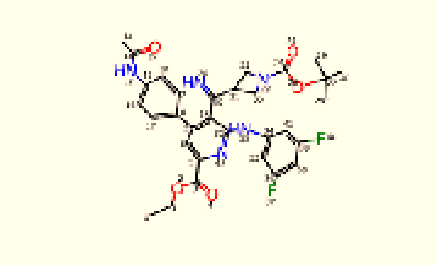 CCOC(=O)c1cc(-c2ccc(NC(C)=O)cc2)c(C(=N)C2CN(C(=O)OC(C)(C)C)C2)c(Nc2cc(F)cc(F)c2)n1